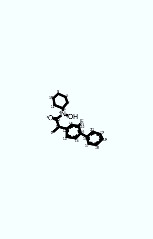 CC(C(=O)N(O)C1CCCCC1)c1ccc(-c2ccccc2)c(F)c1